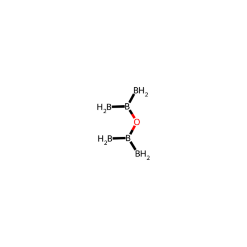 BB(B)OB(B)B